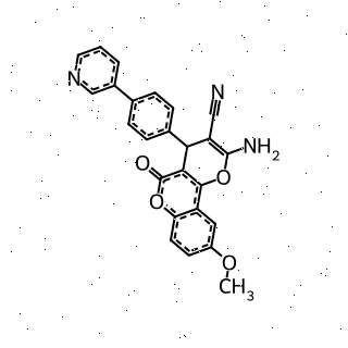 COc1ccc2oc(=O)c3c(c2c1)OC(N)=C(C#N)C3c1ccc(-c2cccnc2)cc1